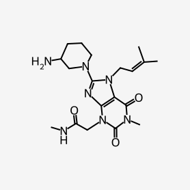 CNC(=O)Cn1c(=O)n(C)c(=O)c2c1nc(N1CCCC(N)C1)n2CC=C(C)C